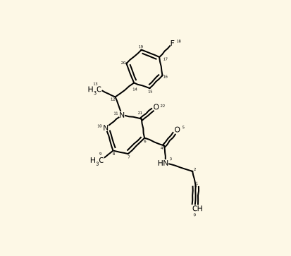 C#CCNC(=O)c1cc(C)nn(C(C)c2ccc(F)cc2)c1=O